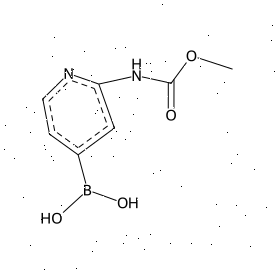 COC(=O)Nc1cc(B(O)O)ccn1